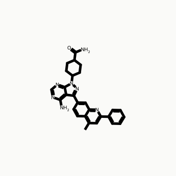 Cc1cc(-c2ccccc2)nc2cc(-c3nn(C4CCC(C(N)=O)CC4)c4ncnc(N)c34)ccc12